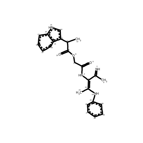 CC(=N)/C(NC(=O)COC(=O)C(C)c1c[nH]c2ccccc12)=C(/C)Nc1ccccc1